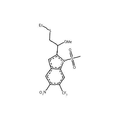 CCSCC(OC)c1cc2cc([N+](=O)[O-])c(C(F)(F)F)cc2n1S(C)(=O)=O